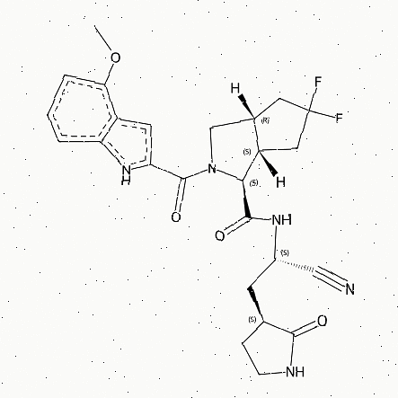 COc1cccc2[nH]c(C(=O)N3C[C@@H]4CC(F)(F)C[C@@H]4[C@H]3C(=O)N[C@H](C#N)C[C@@H]3CCNC3=O)cc12